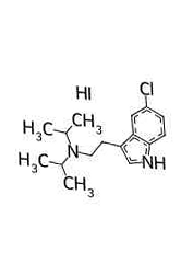 CC(C)N(CCc1c[nH]c2ccc(Cl)cc12)C(C)C.I